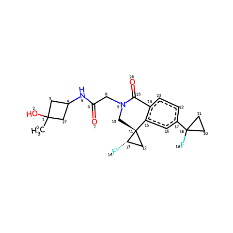 CC1(O)CC(NC(=O)CN2C[C@]3(C[C@@H]3F)c3cc(C4(F)CC4)ccc3C2=O)C1